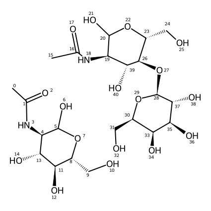 CC(=O)N[C@H]1C(O)O[C@H](CO)[C@@H](O)[C@@H]1O.CC(=O)N[C@H]1C(O)O[C@H](CO)[C@@H](O[C@@H]2O[C@H](CO)[C@H](O)[C@H](O)[C@H]2O)[C@@H]1O